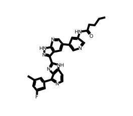 CCCCC(=O)Nc1cncc(-c2cnc3[nH]nc(-c4nc5c(-c6cc(C)cc(F)c6)nccc5[nH]4)c3c2)c1